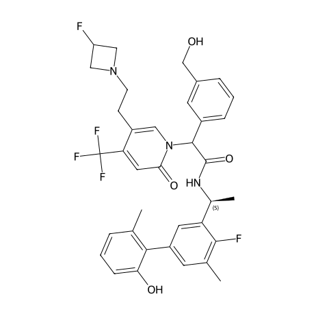 Cc1cc(-c2c(C)cccc2O)cc([C@H](C)NC(=O)C(c2cccc(CO)c2)n2cc(CCN3CC(F)C3)c(C(F)(F)F)cc2=O)c1F